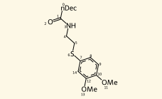 CCCCCCCCCCC(=O)NCCSc1ccc(OC)c(OC)c1